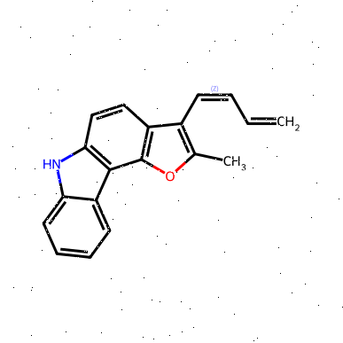 C=C/C=C\c1c(C)oc2c1ccc1[nH]c3ccccc3c12